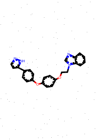 c1ccc2c(c1)ncn2CCOc1ccc(Oc2ccc(-c3ccn[nH]3)cc2)cc1